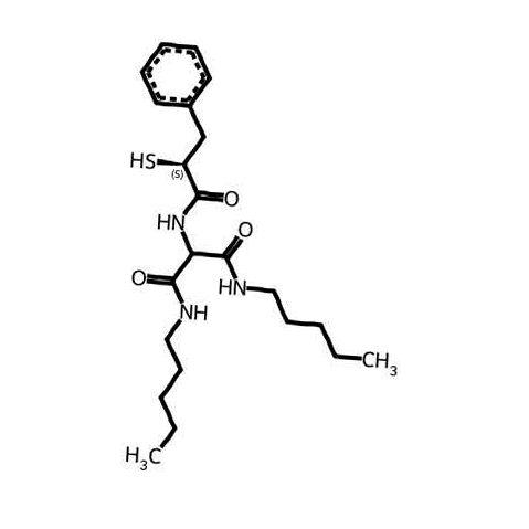 CCCCCNC(=O)C(NC(=O)[C@@H](S)Cc1ccccc1)C(=O)NCCCCC